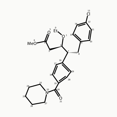 CCO[C@H](CC(=O)OC)[C@H](Cc1ccc(Cl)cc1)c1ccc(C(=O)N2CCCCC2)cc1